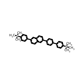 C[Si](C)(C)c1ccc(-c2ccc(-c3ccc4cc(-c5ccc([Si](C)(C)C)cc5)ccc4c3)cc2)cc1